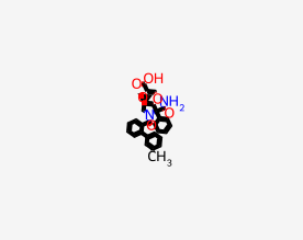 Cc1cccc(-c2ccccc2C(=O)N(CC2CC2)C(C(N)=O)(C2=CC=CCC2)C2=COC(C(=O)O)=CO2)c1